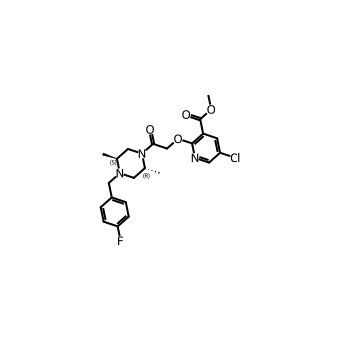 COC(=O)c1cc(Cl)cnc1OCC(=O)N1C[C@H](C)N(Cc2ccc(F)cc2)C[C@H]1C